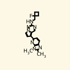 Cc1nc2ccc(-c3ccn4nc(NCC5(F)CCC5)ncc34)nc2n1C